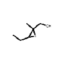 CCC1SC1(C)CO